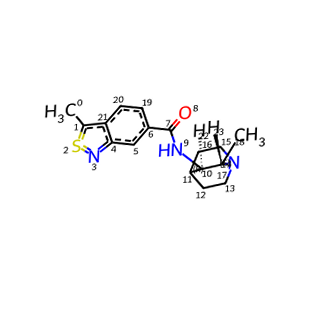 Cc1snc2cc(C(=O)N[C@@H]3C4CCN(CC4)[C@H]3C)ccc12